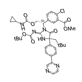 COC(=O)c1cc([C@@H](COC(=O)NC2CC2)N2C(=O)C(CC(C)(C)C)(c3ccc(-c4cnccn4)cc3)NC2=NC(=O)OC(C)(C)C)ccc1Cl